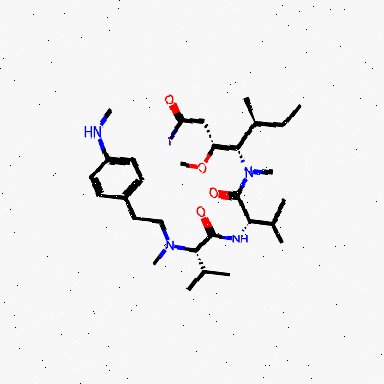 CC[C@H](C)[C@@H]([C@@H](CC(=O)I)OC)N(C)C(=O)[C@@H](NC(=O)[C@H](C(C)C)N(C)CCc1ccc(NC)cc1)C(C)C